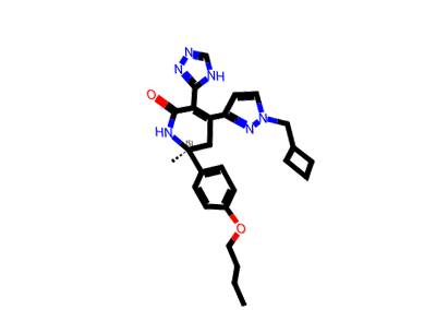 CCCCOc1ccc([C@]2(C)CC(c3ccn(CC4CCC4)n3)=C(c3nnc[nH]3)C(=O)N2)cc1